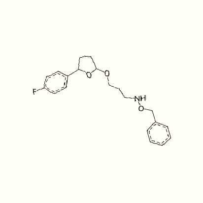 Fc1ccc(C2CCC(OCCCNOCc3ccccc3)O2)cc1